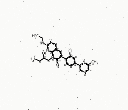 CCNc1ncc2cc(-c3ccc(-c4cncc(C)n4)cc3Cl)c(=O)n(CC(O)CN)c2n1